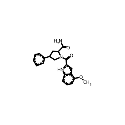 COc1cccc2[nH]c(C(=O)N3CC(c4ccccc4)CC3C(N)=O)cc12